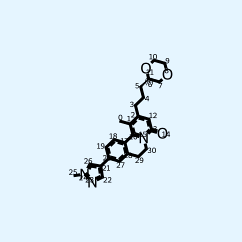 Cc1c(CCC[C@@H]2COCCO2)cc(=O)n2c1-c1ccc(-c3cnn(C)c3)cc1CC2